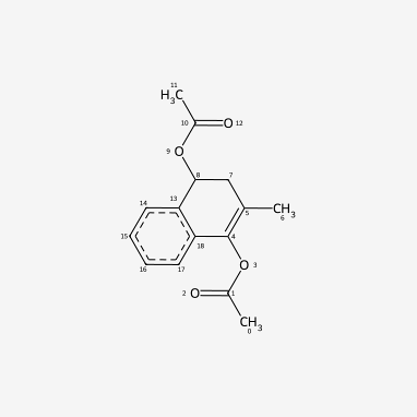 CC(=O)OC1=C(C)CC(OC(C)=O)c2ccccc21